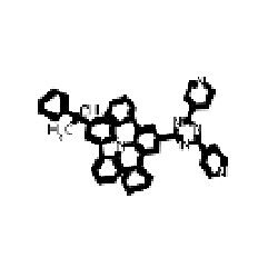 CC(C)(c1ccccc1)c1ccc2c(c1)c1ccccc1n2-c1c(-c2ccccc2)cc(-c2nc(-c3ccncc3)nc(-c3ccncc3)n2)cc1-c1ccccc1